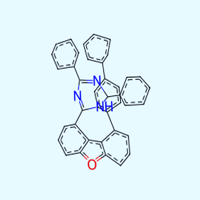 c1ccc(C2=NC(c3ccccc3)NC(c3cccc4oc5cccc(-c6ccc(-c7ccccc7)cc6)c5c34)=N2)cc1